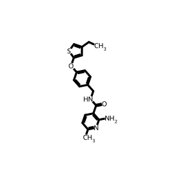 CCc1csc(Oc2ccc(CNC(=O)c3ccc(C)nc3N)cc2)c1